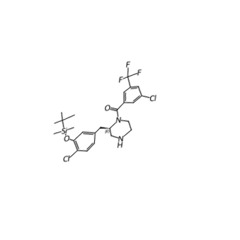 CC(C)(C)[Si](C)(C)Oc1cc(C[C@@H]2CNCCN2C(=O)c2cc(Cl)cc(C(F)(F)F)c2)ccc1Cl